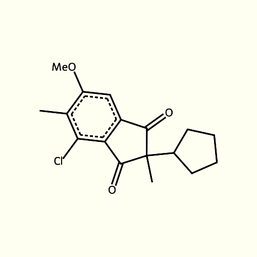 COc1cc2c(c(Cl)c1C)C(=O)C(C)(C1CCCC1)C2=O